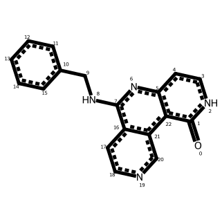 O=c1[nH]ccc2nc(NCc3ccccc3)c3ccncc3c12